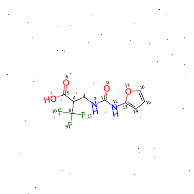 O=C(NCC(C(=O)O)C(F)(F)F)Nc1ccco1